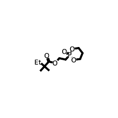 CCC(C)(C)C(=O)OCCP1(=O)OCCCO1